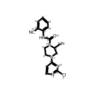 CC(C)C1CN(c2ccnc(Cl)n2)CCN1C(=O)Nc1ccccc1C#N